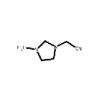 CN1CCN(CC#N)C1